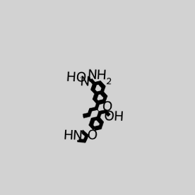 C=CCC(c1ccc2ccc(C(N)=NO)cc2c1)[C@H](C(=O)O)c1ccc(O[C@H]2CCNC2)cc1